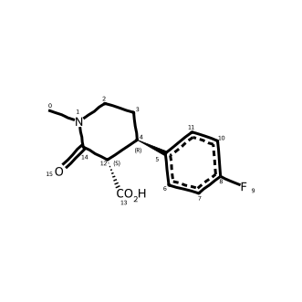 CN1CC[C@@H](c2ccc(F)cc2)[C@H](C(=O)O)C1=O